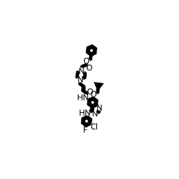 O=C(C=CCN1CCN(CC(=O)OCc2ccccc2)CC1)Nc1cc2c(Nc3ccc(F)c(Cl)c3)ncnc2cc1OCC1CC1